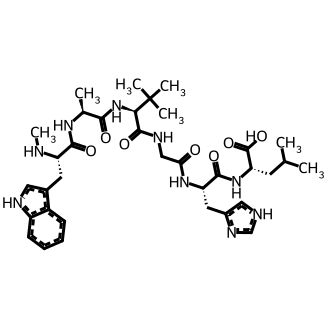 CN[C@@H](Cc1c[nH]c2ccccc12)C(=O)N[C@@H](C)C(=O)N[C@H](C(=O)NCC(=O)N[C@@H](Cc1c[nH]cn1)C(=O)N[C@@H](CC(C)C)C(=O)O)C(C)(C)C